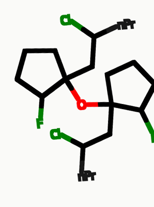 CCCC(Cl)CC1(OC2(CC(Cl)CCC)CCCC2F)CCCC1F